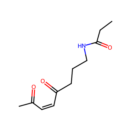 CCC(=O)NCCCC(=O)/C=C\C(C)=O